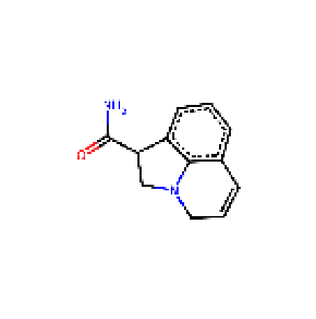 NC(=O)C1CN2CC=Cc3cccc1c32